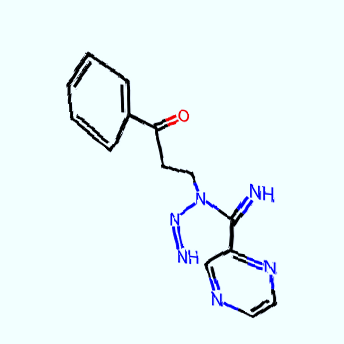 N=NN(CCC(=O)c1ccccc1)C(=N)c1cnccn1